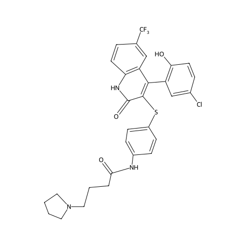 O=C(CCCN1CCCC1)Nc1ccc(Sc2c(-c3cc(Cl)ccc3O)c3cc(C(F)(F)F)ccc3[nH]c2=O)cc1